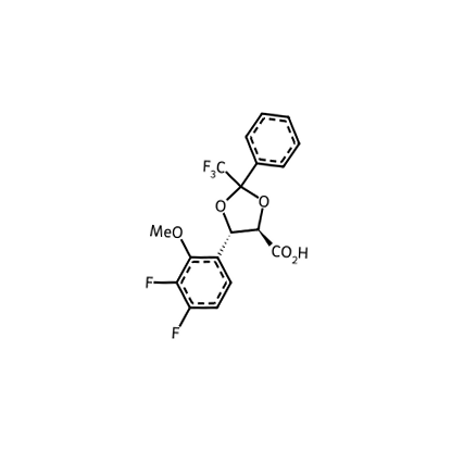 COc1c([C@@H]2OC(c3ccccc3)(C(F)(F)F)O[C@H]2C(=O)O)ccc(F)c1F